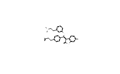 CN(C)CCc1cccc(NC(=C2C(=O)Nc3cc(Cl)ccc32)c2ccc(CCC(=O)O)cc2)c1